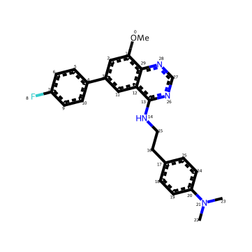 COc1cc(-c2ccc(F)cc2)cc2c(NCCc3ccc(N(C)C)cc3)ncnc12